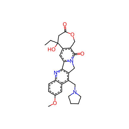 CCC1(O)CC(=O)OCc2c1cc1n(c2=O)Cc2c-1nc1ccc(OC)cc1c2CN1CCCC1